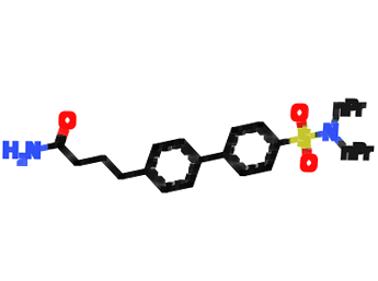 CCCN(CCC)S(=O)(=O)c1ccc(-c2ccc(CCCC(N)=O)cc2)cc1